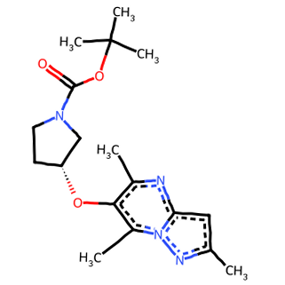 Cc1cc2nc(C)c(O[C@@H]3CCN(C(=O)OC(C)(C)C)C3)c(C)n2n1